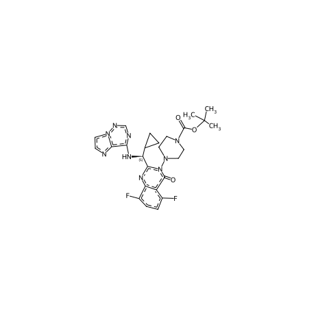 CC(C)(C)OC(=O)N1CCN(n2c([C@@H](Nc3ncnn4ccnc34)C3CC3)nc3c(F)ccc(F)c3c2=O)CC1